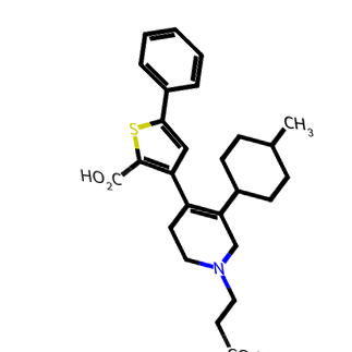 CC1CCC(C2=C(c3cc(-c4ccccc4)sc3C(=O)O)CCN(CCC(=O)O)C2)CC1